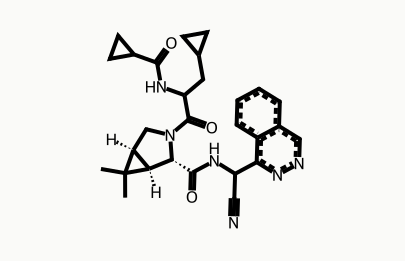 CC1(C)[C@@H]2[C@@H](C(=O)NC(C#N)c3nncc4ccccc34)N(C(=O)C(CC3CC3)NC(=O)C3CC3)C[C@@H]21